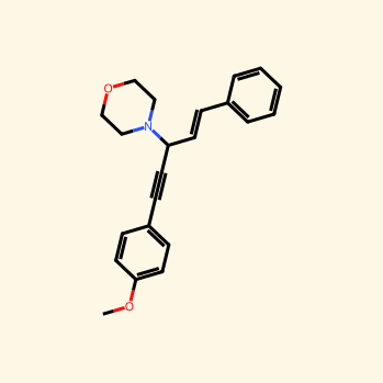 COc1ccc(C#CC(/C=C/c2ccccc2)N2CCOCC2)cc1